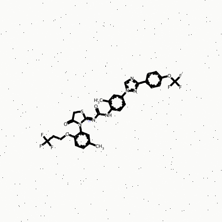 Cc1ccc(OCCC(F)(F)F)c(N2C(=O)CS/C2=N\C(=O)Nc2ccc(-n3cnc(-c4ccc(OC(F)(F)F)cc4)n3)cc2C)c1